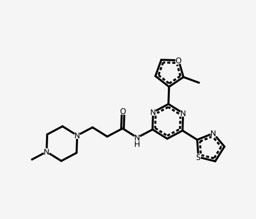 Cc1occc1-c1nc(NC(=O)CCN2CCN(C)CC2)cc(-c2nccs2)n1